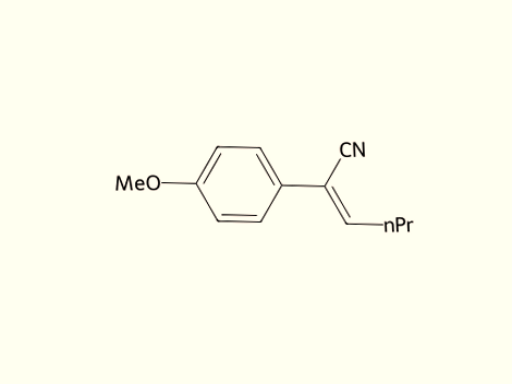 CCC/C=C(\C#N)c1ccc(OC)cc1